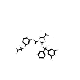 CC(C)C1CN(C(=S)Nc2cccc(OC(F)(F)C(F)F)c2)C(NC(C)(c2ccccc2)c2cc(Br)cc(Br)c2)=N1